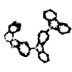 c1ccc2c(c1)CSc1nc3ccc(-n4c5ccccc5c5cc(-n6c7ccccc7c7ccccc76)ccc54)cc3n1-2